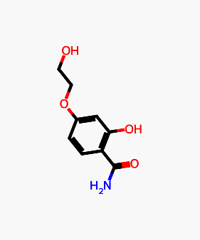 NC(=O)c1ccc(OCCO)cc1O